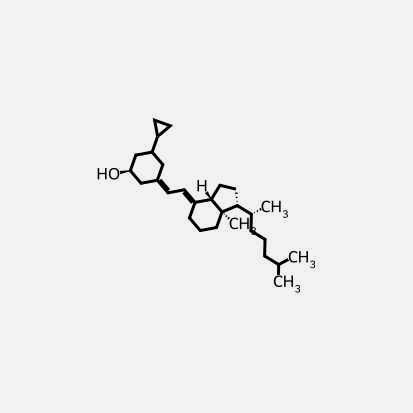 CC(C)CCC[C@@H](C)[C@H]1CC[C@H]2/C(=C/C=C3\CC(C4CC4)C[C@H](O)C3)CCC[C@]12C